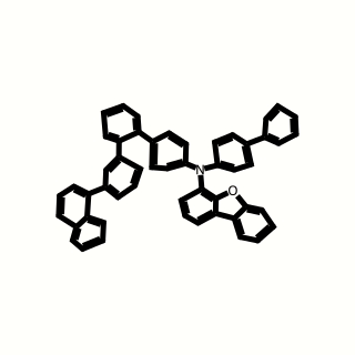 c1ccc(-c2ccc(N(c3ccc(-c4ccccc4-c4cccc(-c5cccc6ccccc56)c4)cc3)c3cccc4c3oc3ccccc34)cc2)cc1